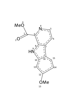 COC(=O)c1nccc2c1[nH]c1cc(OC)ccc12